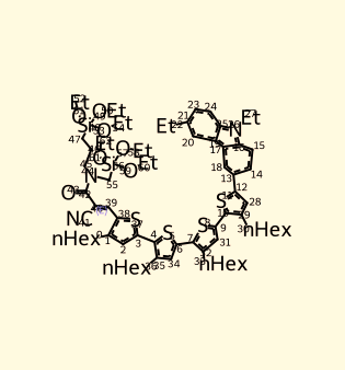 CCCCCCc1cc(-c2sc(-c3sc(-c4sc(-c5ccc6c(c5)c5cc(CC)ccc5n6CC)cc4CCCCCC)cc3CCCCCC)cc2CCCCCC)sc1/C=C(\C#N)C(=O)N(CCC[Si](OCC)(OCC)OCC)C[Si](OCC)(OCC)OCC